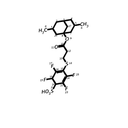 CC1CC2CC(C)CC(OC(=O)CCSC3=C(F)C(F)C(S(=O)(=O)O)C(F)=C3F)(C1)C2